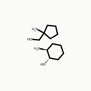 NC1(CO)CCCC1.N[C@H]1CCCC[C@@H]1O